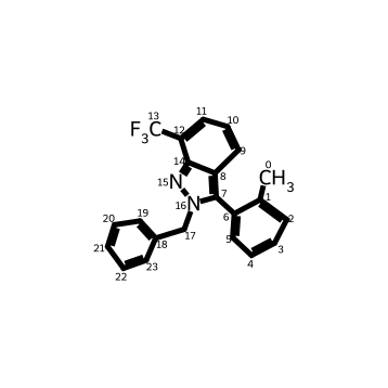 Cc1ccccc1-c1c2cccc(C(F)(F)F)c2nn1Cc1ccccc1